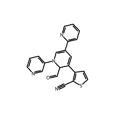 N#Cc1sccc1C1=CC(c2ccccn2)=CN(c2cccnc2)C1C=O